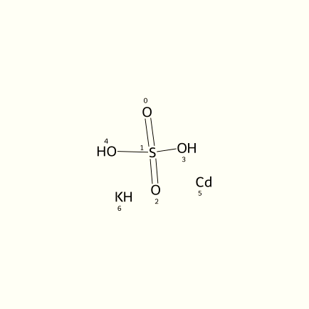 O=S(=O)(O)O.[Cd].[KH]